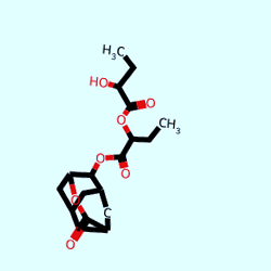 CCC(O)C(=O)OC(CC)C(=O)OC1C2CC3CC(C2)C(=O)OC1C3